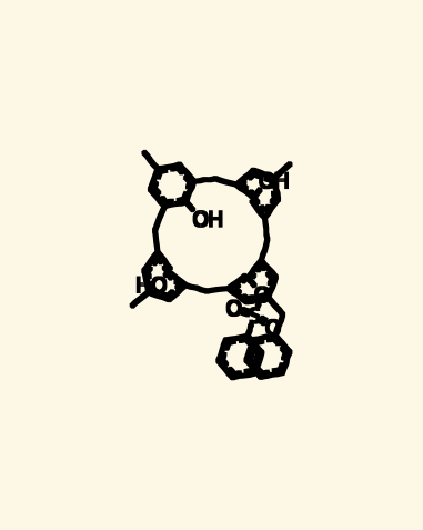 Cc1cc2c(O)c(c1)Cc1cc(C)cc(c1O)Cc1cc(Cc3ccccc3)cc(c1OS(=O)(=O)c1ccccc1)Cc1cc(C)cc(c1O)C2